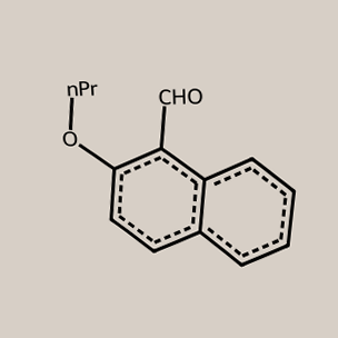 CCCOc1ccc2ccccc2c1C=O